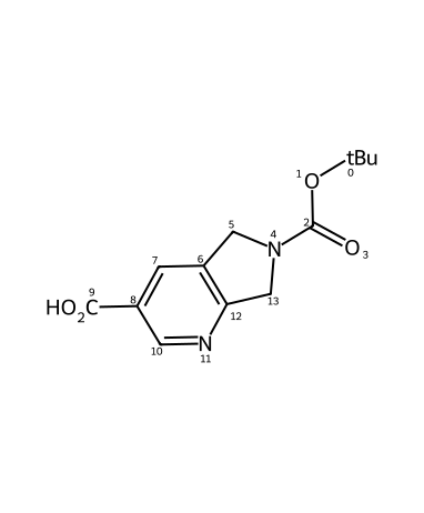 CC(C)(C)OC(=O)N1Cc2cc(C(=O)O)cnc2C1